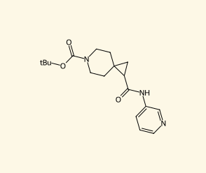 CC(C)(C)OC(=O)N1CCC2(CC1)CC2C(=O)Nc1cccnc1